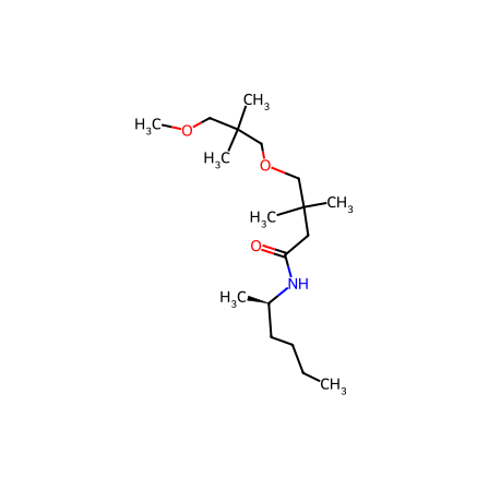 CCCC[C@@H](C)NC(=O)CC(C)(C)COCC(C)(C)COC